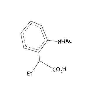 CCC(C(=O)O)c1ccccc1NC(C)=O